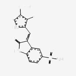 Cc1c(C(=O)O)c[nH]c1/C=C1\C(=O)Nc2ccc(S(N)(=O)=O)cc21